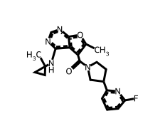 Cc1oc2ncnc(NC3(C)CC3)c2c1C(=O)N1CCC(c2cccc(F)n2)C1